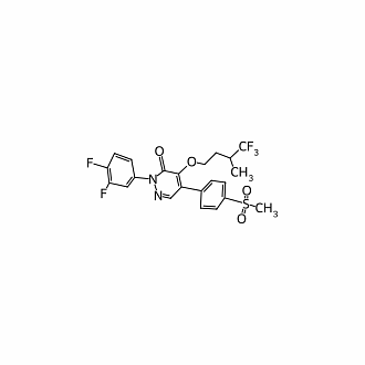 CC(CCOc1c(-c2ccc(S(C)(=O)=O)cc2)cnn(-c2ccc(F)c(F)c2)c1=O)C(F)(F)F